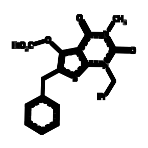 CCOC(=O)Oc1c(Cc2ccccc2)sc2c1c(=O)n(C)c(=O)n2CC(C)C